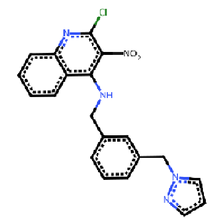 O=[N+]([O-])c1c(Cl)nc2ccccc2c1NCc1cccc(Cn2cccn2)c1